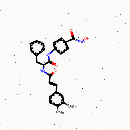 COc1ccc(/C=C/C(=O)NC(Cc2ccccc2)C(=O)Nc2ccc(C(=O)NO)cc2)cc1OC